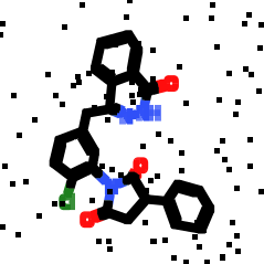 O=C1CC(c2ccccc2)C(=O)N1c1cc(Cc2n[nH]c(=O)c3ccccc23)ccc1Cl